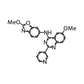 COc1ccc2nc(-c3cccnc3)nc(Nc3ccc4nc(OC)oc4c3)c2c1